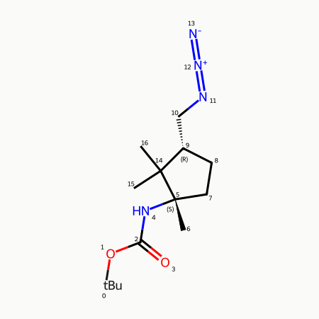 CC(C)(C)OC(=O)N[C@@]1(C)CC[C@@H](CN=[N+]=[N-])C1(C)C